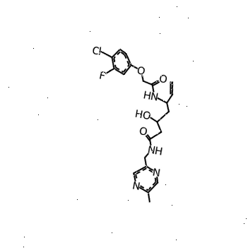 C=CC(CC(O)CC(=O)NCc1cnc(C)cn1)NC(=O)COc1ccc(Cl)c(F)c1